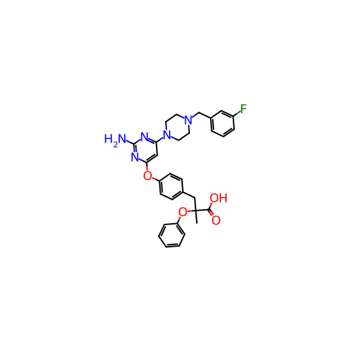 CC(Cc1ccc(Oc2cc(N3CCN(Cc4cccc(F)c4)CC3)nc(N)n2)cc1)(Oc1ccccc1)C(=O)O